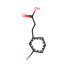 O=C(O)CCc1cccc(F)c1